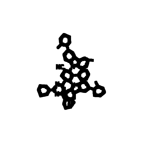 Cc1ccc2c(c1)c1cc(-c3ccccc3C)ccc1n2-c1c(C#N)cc(-c2nc(-c3ccccc3)nc(-c3ccccc3)n2)c(-n2c3ccc(C)cc3c3cc(-c4ccccc4C)ccc32)c1-c1ccccc1